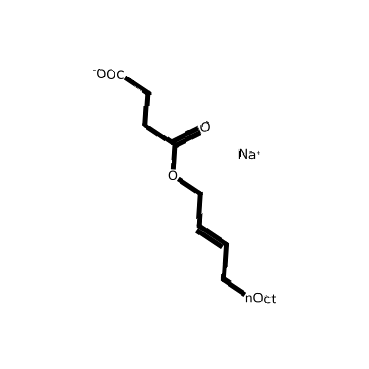 CCCCCCCCCC=CCOC(=O)CCC(=O)[O-].[Na+]